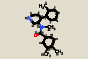 Cc1ccccc1-c1ccncc1N(C)C(=O)c1ccc(C)c(C(F)(F)F)c1